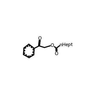 CCCCCCCC(=O)OCC(=O)c1ccccc1